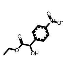 CCOC(=O)C(O)c1ccc([N+](=O)[O-])cc1